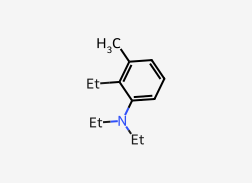 CCc1c(C)cccc1N(CC)CC